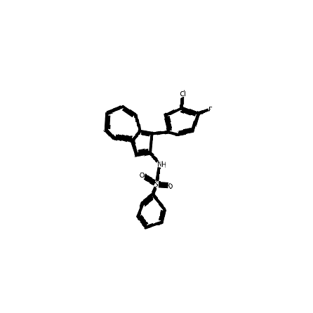 O=S(=O)(Nc1cc2cccccc-2c1-c1ccc(F)c(Cl)c1)c1ccccc1